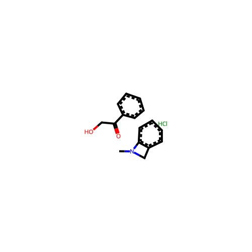 CN1Cc2ccccc21.Cl.O=C(CO)c1ccccc1